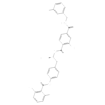 O=C(NCc1cccc(O)c1)c1ccc(C(=O)N[C@@H](Cc2ccc(NC(=O)c3c(Cl)cccc3Cl)cc2)C(=O)O)c(Cl)c1